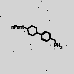 CCCCCC1CCC(c2ccc(CP)cc2)CC1